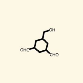 O=CC1CC(C=O)CC(CO)C1